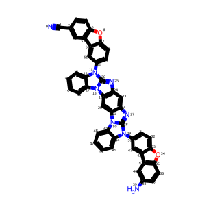 N#Cc1ccc2oc3ccc(-n4c5ccccc5n5c6cc7c(cc6nc45)nc4n(-c5ccc6oc8ccc(N)cc8c6c5)c5ccccc5n74)cc3c2c1